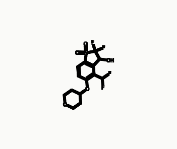 O=S1(=O)c2ccc(OC3CCOCC3)c(C(F)F)c2C(O)C1(F)F